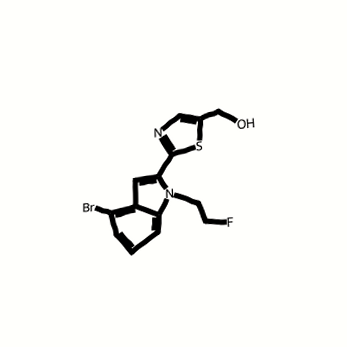 OCc1cnc(-c2cc3c(Br)cccc3n2CCF)s1